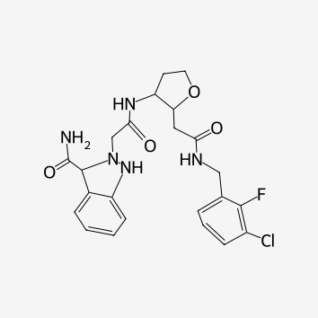 NC(=O)C1c2ccccc2NN1CC(=O)NC1CCOC1CC(=O)NCc1cccc(Cl)c1F